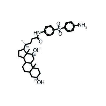 C[C@H](CCC(=O)Nc1ccc(S(=O)(=O)c2ccc(N)cc2)cc1)C1CCC2C3CCC4C[C@H](O)CCC4(C)C3C[C@H](O)C21C